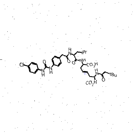 CC(C)CC(NC(=O)Cc1ccc(NC(=O)Nc2ccc(Cl)cc2)cc1)C(=O)NC(C/C=C/CC(NC(=O)CC(C)(C)C)C(=O)O)C(=O)O